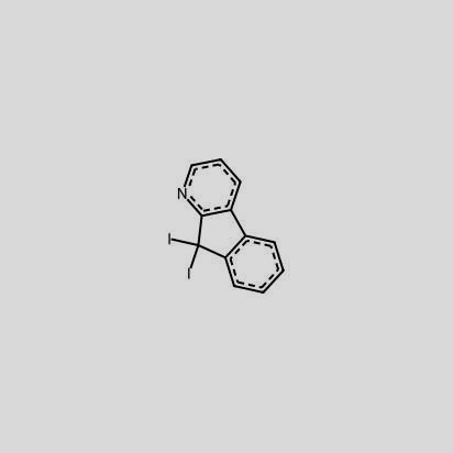 IC1(I)c2ccccc2-c2cccnc21